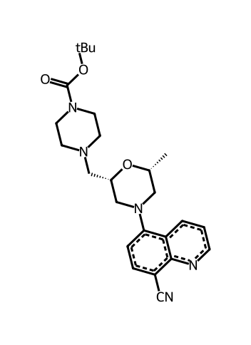 C[C@@H]1CN(c2ccc(C#N)c3ncccc23)C[C@H](CN2CCN(C(=O)OC(C)(C)C)CC2)O1